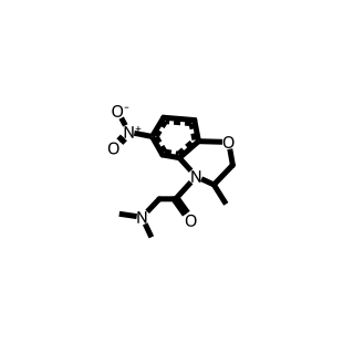 CC1COc2ccc([N+](=O)[O-])cc2N1C(=O)CN(C)C